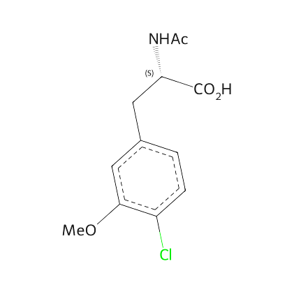 COc1cc(C[C@H](NC(C)=O)C(=O)O)ccc1Cl